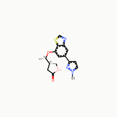 CCn1ccc(-c2cc(O[C@@H](C)[C@@H]3CBC(=O)C3)c3scnc3c2)n1